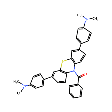 CN(C)c1ccc(-c2ccc3c(c2)Sc2cc(-c4ccc(N(C)C)cc4)ccc2N3C(=O)c2ccccc2)cc1